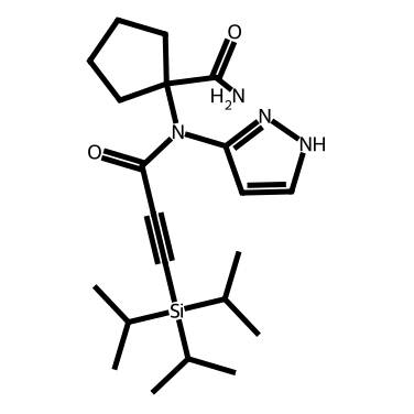 CC(C)[Si](C#CC(=O)N(c1cc[nH]n1)C1(C(N)=O)CCCC1)(C(C)C)C(C)C